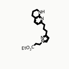 CCOC(=O)CCn1ccc(CCCc2ccc3c(n2)NCCC3)n1